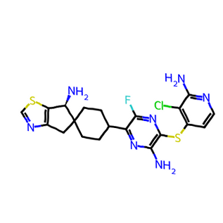 Nc1nc(C2CCC3(CC2)Cc2ncsc2[C@H]3N)c(F)nc1Sc1ccnc(N)c1Cl